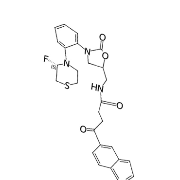 O=C(CCC(=O)c1ccc2ccccc2c1)NCC1CN(c2ccccc2N2CCSC[C@@H]2F)C(=O)O1